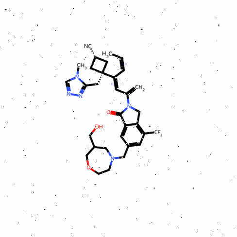 C=C(/C=C(\C=C/C)[C@]1(Cc2nncn2C)C[C@@H](C#N)C1)N1Cc2c(cc(CN3CCOCC(CO)C3)cc2C(F)(F)F)C1=O